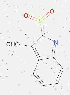 O=CC1=c2ccccc2=NC1=S(=O)=O